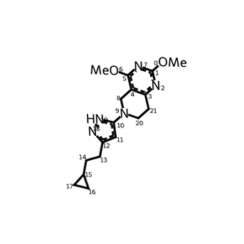 COc1nc2c(c(OC)n1)CN(c1cc(CCC3CC3)n[nH]1)CC2